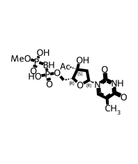 COP(=O)(O)BP(=O)(O)OC[C@H]1O[C@@H](n2cc(C)c(=O)[nH]c2=O)C[C@@]1(O)C(C)=O